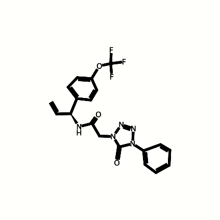 C=C[C@H](NC(=O)Cn1nnn(-c2ccccc2)c1=O)c1ccc(OC(F)(F)F)cc1